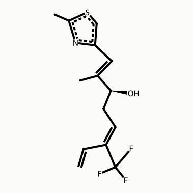 C=C/C(=C\C[C@H](O)/C(C)=C/c1csc(C)n1)C(F)(F)F